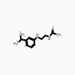 CC(=O)NCCNc1cccc(C(C)C)c1